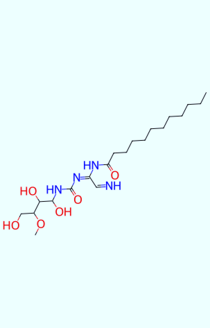 CCCCCCCCCCCC(=O)N/C(C=N)=N/C(=O)NC(O)C(O)C(CO)OC